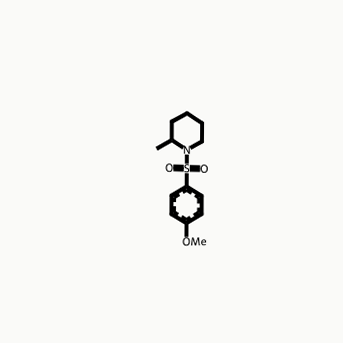 COc1ccc(S(=O)(=O)N2CCCCC2C)cc1